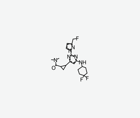 CN(C)C(=O)C1CC1c1cc(NC2CCC(F)(F)CC2)nc(-n2ccc(CF)n2)n1